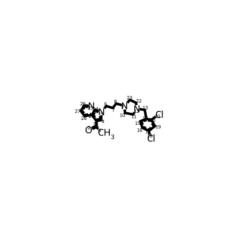 CC(=O)c1cn(CCCN2CCN(Cc3ccc(Cl)cc3Cl)CC2)c2ncccc12